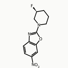 O=[N+]([O-])c1ccc2nc(N3CCC[C@H](F)C3)oc2c1